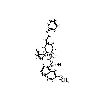 COc1ccc2nccc([C@H](O)CC[C@@H]3CCN(CCSc4ccccn4)C[C@@H]3CC(=O)O)c2c1